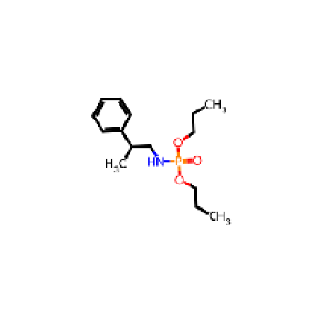 CCCOP(=O)(NCC(C)c1ccccc1)OCCC